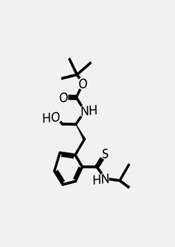 CC(C)NC(=S)c1ccccc1C[C@@H](CO)NC(=O)OC(C)(C)C